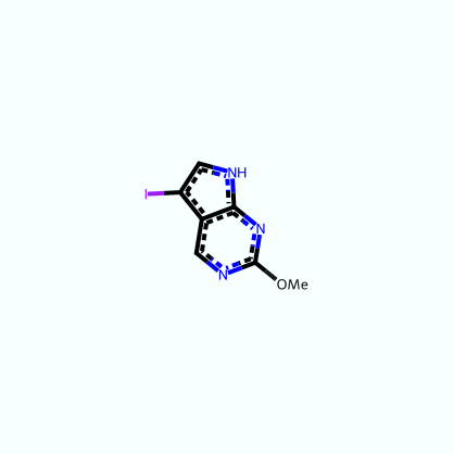 COc1ncc2c(I)c[nH]c2n1